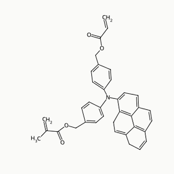 C=CC(=O)OCc1ccc(N(c2ccc(COC(=O)C(=C)C)cc2)c2ccc3ccc4c5c3c2CC=C5CC=C4)cc1